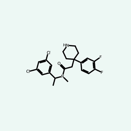 CC(c1cc(Cl)cc(Cl)c1)N(C)C(=O)CC1(c2ccc(F)c(F)c2)CCNCC1